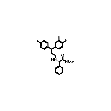 CNC(=O)[C@@H](NCCC(c1ccc(C)cc1)c1ccc(F)c(C)c1)c1ccccc1